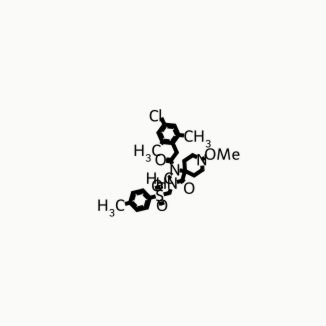 CON1CCC(C(=O)NCS(=O)(=O)c2ccc(C)cc2)(N(C)C(=O)Cc2c(C)cc(Cl)cc2C)CC1